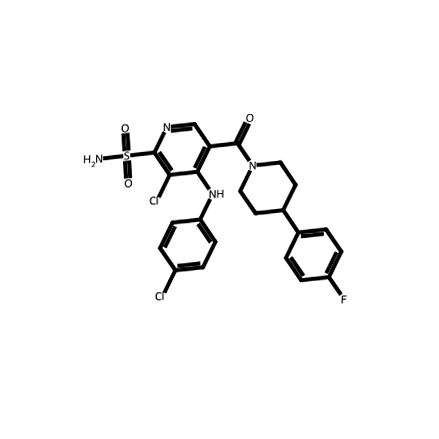 NS(=O)(=O)c1ncc(C(=O)N2CCC(c3ccc(F)cc3)CC2)c(Nc2ccc(Cl)cc2)c1Cl